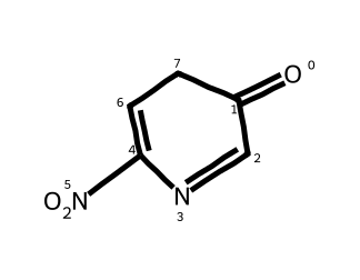 O=C1C=NC([N+](=O)[O-])=CC1